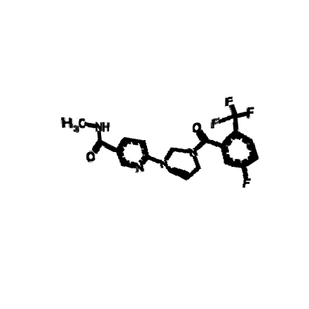 CNC(=O)c1ccc(N2C=CCN(C(=O)c3cc(F)ccc3C(F)(F)F)C2)nc1